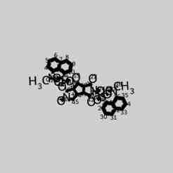 CN(C)c1cccc2cccc(S(=O)(=O)OC3C4C(=O)C5C(=O)N(OS(=O)(=O)c6cccc7cccc(N(C)C)c67)C(=O)C5C4C[N+]3=O)c12